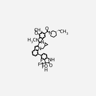 CC[C@@H]1CCCN(C(=O)c2cc(OC)c3c(c2)nc(-c2cc4cccc(-c5ccc6c(c5)C(O)(C(F)(F)F)C(=O)N6)c4n2CC2CC2)n3C)C1